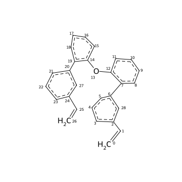 C=Cc1cccc(-c2ccccc2Oc2ccccc2-c2cccc(C=C)c2)c1